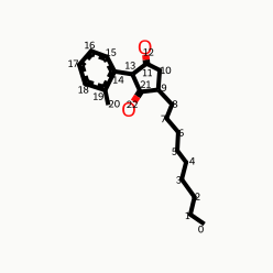 CCCCCCCCCC1CC(=O)C(c2ccccc2C)C1=O